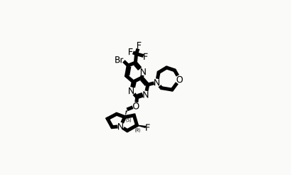 F[C@H]1CN2CCC[C@@]2(COc2nc(N3CCCOCC3)c3nc(C(F)(F)F)c(Br)cc3n2)C1